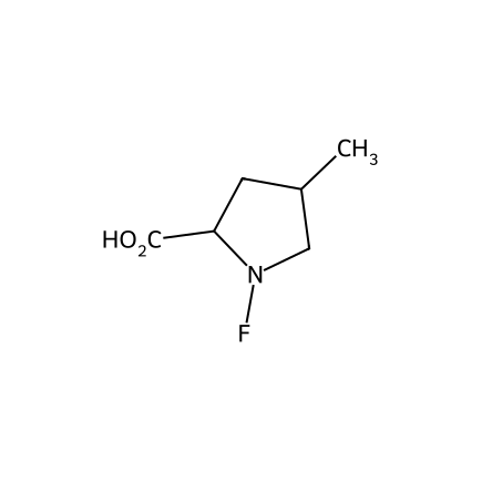 CC1CC(C(=O)O)N(F)C1